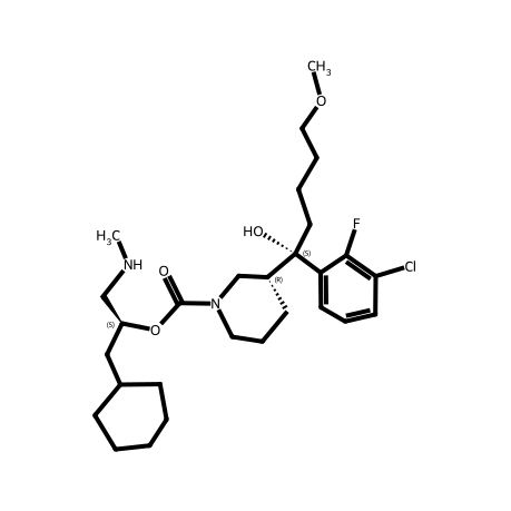 CNC[C@H](CC1CCCCC1)OC(=O)N1CCC[C@@H]([C@@](O)(CCCCOC)c2cccc(Cl)c2F)C1